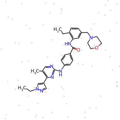 CCc1ccc(CN2CCOCC2)cc1NC(=O)c1ccc(Nc2ncc(C)c(-c3cnn(CC)c3)n2)cc1